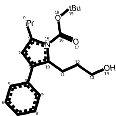 CC(C)c1cc(-c2ccccc2)c(CCCO)n1C(=O)OC(C)(C)C